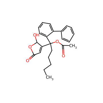 CCCCCC(OC(C)=O)(C1=CC(=O)OC1O)c1ccccc1-c1ccccc1